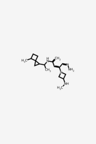 C=C(/C=C(\C=N/N)N1CC(NC)C1)NC(C)C1CC12CCC2C